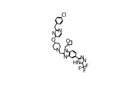 FC(F)(F)c1nnc(-c2ccc3c(c2)nc(CN2CCC(Oc4ccnc(Cc5ccc(Cl)cc5)n4)CC2)n3C[C@@H]2CCO2)[nH]1